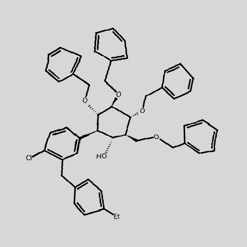 CCc1ccc(Cc2cc([C@@H]3[C@@H](O)[C@H](COCc4ccccc4)[C@@H](OCc4ccccc4)[C@H](OCc4ccccc4)[C@H]3OCc3ccccc3)ccc2Cl)cc1